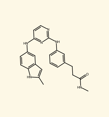 CNC(=O)CCc1cccc(Nc2nccc(Nc3ccc4[nH]c(C)cc4c3)n2)c1